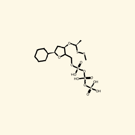 CSS[C@H](C)O[C@@H]1C[C@H](C2CCCCC2)OC1COP(=O)(O)OP(=O)(O)OP(=O)(O)O